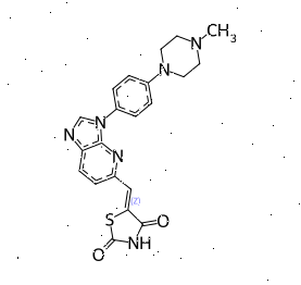 CN1CCN(c2ccc(-n3cnc4ccc(/C=C5\SC(=O)NC5=O)nc43)cc2)CC1